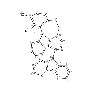 CC1(c2ccccc2)c2cc(-n3c4ccccc4c4ccccc43)ccc2CCc2ccc(C#N)c(C#N)c21